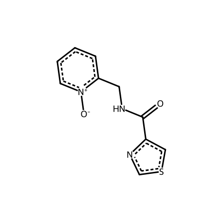 O=C(NCc1cccc[n+]1[O-])c1cscn1